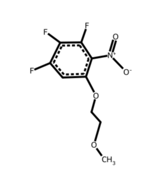 COCCOc1cc(F)c(F)c(F)c1[N+](=O)[O-]